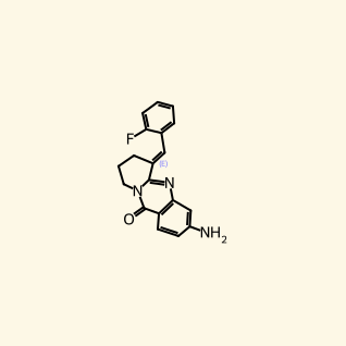 Nc1ccc2c(=O)n3c(nc2c1)/C(=C/c1ccccc1F)CCC3